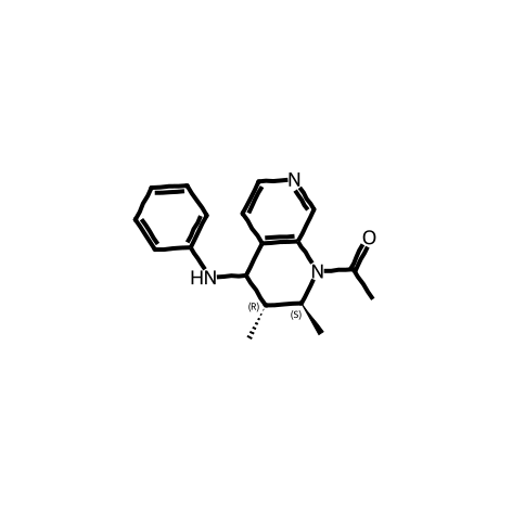 CC(=O)N1c2cnccc2C(Nc2ccccc2)[C@@H](C)[C@@H]1C